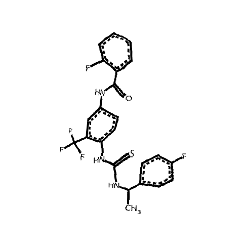 CC(NC(=S)Nc1ccc(NC(=O)c2ccccc2F)cc1C(F)(F)F)c1ccc(F)cc1